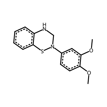 COc1ccc(N2CNc3ccccc3S2)cc1OC